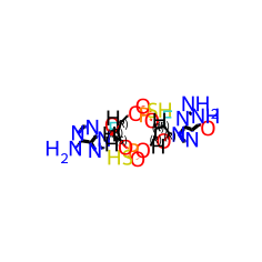 Nc1nc2c(ncn2[C@@H]2O[C@@H]3COP(=O)(S)O[C@@H]4[C@H](F)[C@@H](COP(=O)(S)O[C@H]3[C@H]2F)O[C@H]4n2cnc3c(N)ncnc32)c(=O)[nH]1